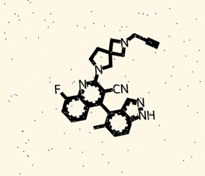 C#CCN1CC2(CCN(c3nc4c(F)cccc4c(-c4c(C)ccc5[nH]ncc45)c3C#N)C2)C1